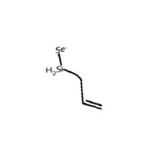 C=CC[SiH2][Se]